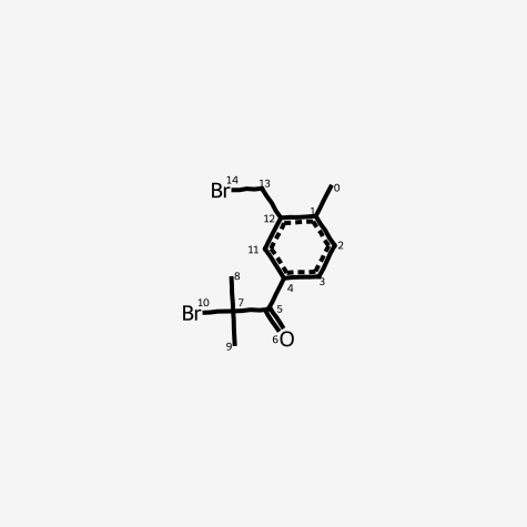 Cc1ccc(C(=O)C(C)(C)Br)cc1CBr